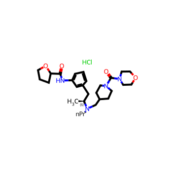 CCCN(CC1CCN(C(=O)N2CCOCC2)CC1)[C@@H](C)Cc1cccc(NC(=O)C2CCCO2)c1.Cl